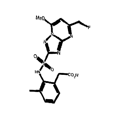 COc1cc(CF)nc2nc(S(=O)(=O)Nc3c(C)cccc3CC(=O)O)nn12